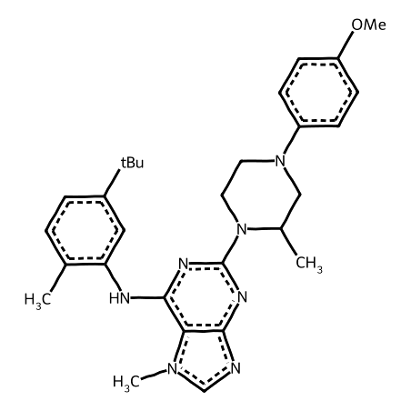 COc1ccc(N2CCN(c3nc(Nc4cc(C(C)(C)C)ccc4C)c4c(ncn4C)n3)C(C)C2)cc1